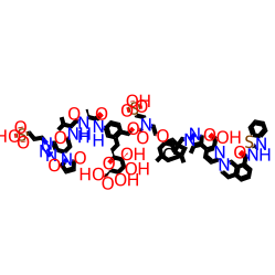 Cc1c(-c2ccc(N3CCc4cccc(C(=O)Nc5nc6ccccc6s5)c4C3)nc2C(=O)O)cnn1CC12CC3(OCCN(CCS(=O)(=O)O)C(=O)OCc4ccc(NC(=O)[C@H](C)NC(=O)[C@@H](NC(=O)CC(c5cn(CCCS(=O)(=O)O)nn5)N5C(=O)C=CC5=O)C(C)C)cc4CC[C@@H]4O[C@H](C(=O)O)[C@@H](O)[C@H](O)[C@H]4O)CC4(C)CC(C)(C1)C2(C4)C3